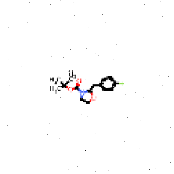 CC(C)(C)OC(=O)N1CCOC1Cc1ccc(F)cc1